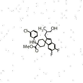 COC(=O)C1(Nc2cccc(Cl)c2)CCC2(CC1)C(C[C@@H](C)CO)=Cc1cc(F)c(F)cc12